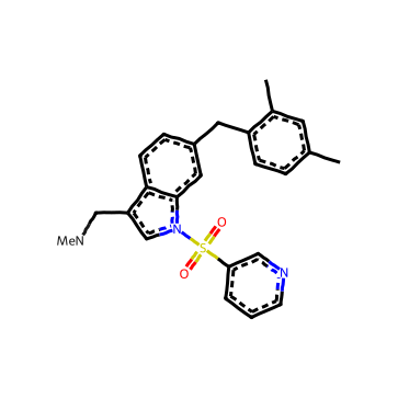 CNCc1cn(S(=O)(=O)c2cccnc2)c2cc(Cc3ccc(C)cc3C)ccc12